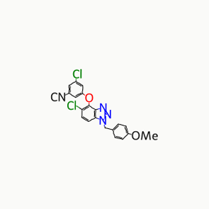 [C-]#[N+]c1cc(Cl)cc(Oc2c(Cl)ccc3c2nnn3Cc2ccc(OC)cc2)c1